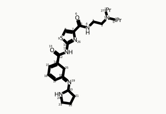 CC(C)N(CCNC(=O)c1csc(NC(=O)C2=CC=CC(=NC3CCCN3)C2)n1)C(C)C